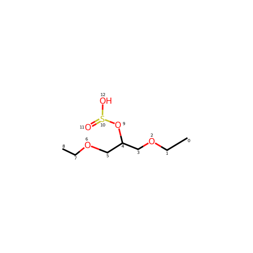 CCOCC(COCC)OS(=O)O